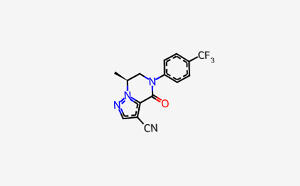 C[C@H]1CN(c2ccc(C(F)(F)F)cc2)C(=O)c2c(C#N)cnn21